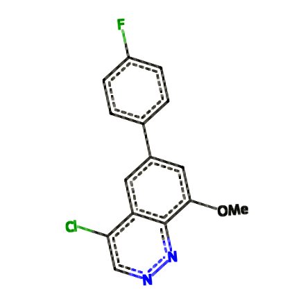 COc1cc(-c2ccc(F)cc2)cc2c(Cl)cnnc12